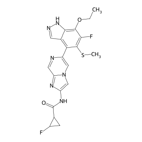 CCOc1c(F)c(SC)c(-c2cn3cc(NC(=O)C4CC4F)nc3cn2)c2cn[nH]c12